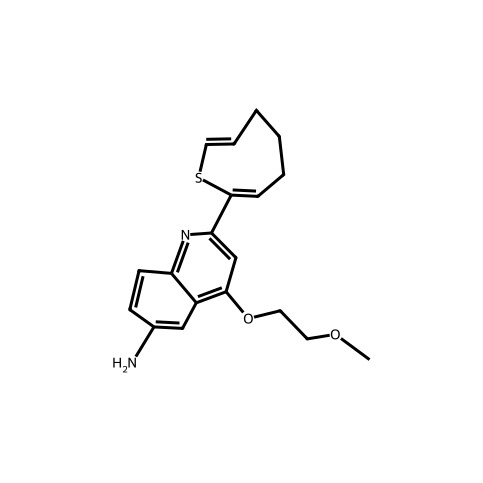 COCCOc1cc(/C2=C/CCC/C=C/S2)nc2ccc(N)cc12